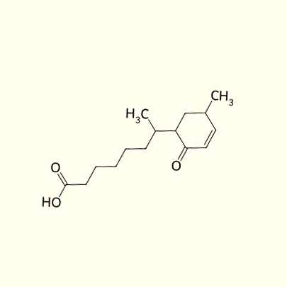 CC1C=CC(=O)C(C(C)CCCCCC(=O)O)C1